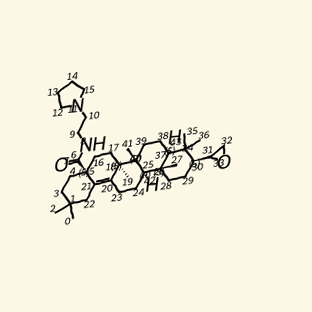 CC1(C)CC[C@]2(C(=O)NCCN3CCCC3)CC[C@]3(C)C(=C2C1)CC[C@@H]1[C@@]2(C)CC[C@H](C4CO4)C(C)(C)[C@@H]2CC[C@]13C